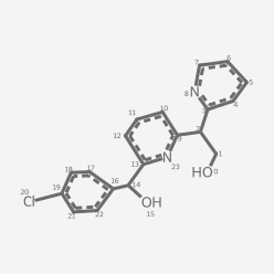 OCC(c1ccccn1)c1cccc(C(O)c2ccc(Cl)cc2)n1